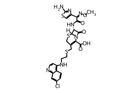 CO/N=C(\C(=O)N[C@@H]1C(=O)N2C(C(=O)O)=C(CSCCNc3ccnc4cc(Cl)ccc34)CS[C@H]12)c1csc(N)n1